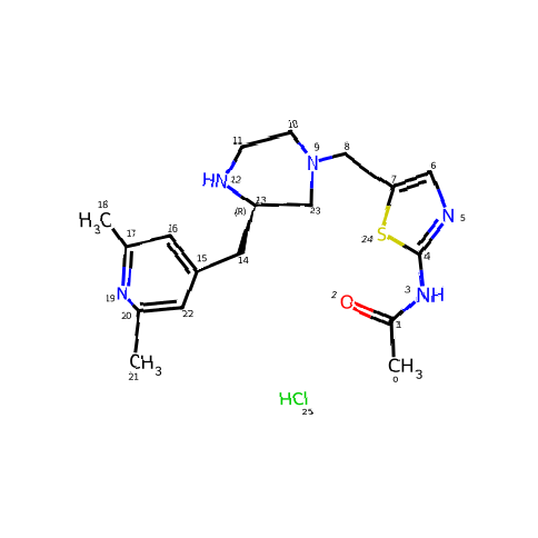 CC(=O)Nc1ncc(CN2CCN[C@H](Cc3cc(C)nc(C)c3)C2)s1.Cl